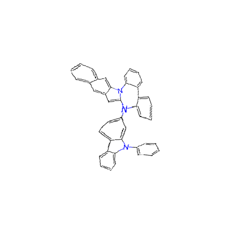 c1ccc(-n2c3ccccc3c3ccc(N4c5ccccc5-c5ccccc5-n5c4cc4cc6ccccc6cc45)cc32)cc1